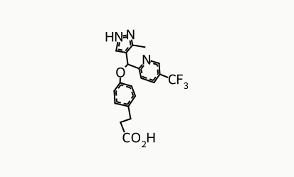 Cc1n[nH]cc1C(Oc1ccc(CCC(=O)O)cc1)c1ccc(C(F)(F)F)cn1